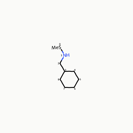 CSNCC1CCCCC1